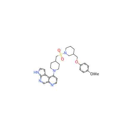 COc1ccc(OCC2CCCN(S(=O)(=O)CC3CCN(c4ccnc5cnc6[nH]ccc6c45)CC3)C2)cc1